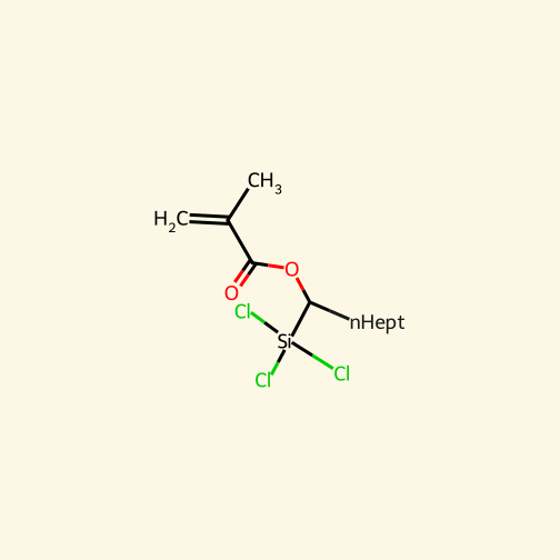 C=C(C)C(=O)OC(CCCCCCC)[Si](Cl)(Cl)Cl